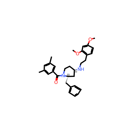 COc1ccc(CCN[C@H]2CCN(C(=O)c3cc(C)cc(C)c3)[C@@H](Cc3ccccc3)C2)c(OC)c1